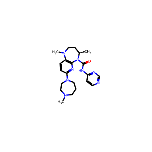 C[C@@H]1CCN(C)c2ccc(N3CCCN(C)CC3)nc2N1C(=O)Nc1ccncn1